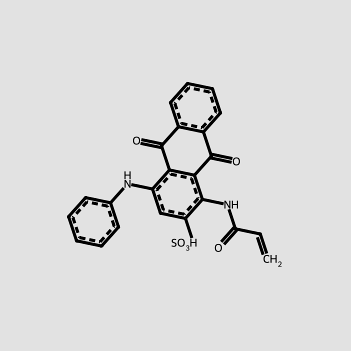 C=CC(=O)Nc1c(S(=O)(=O)O)cc(Nc2ccccc2)c2c1C(=O)c1ccccc1C2=O